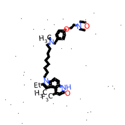 CCc1c(C)c2c3c(C(F)(F)F)cc(=O)[nH]c3ccc2n1CCCCCCCCCN(C)Cc1ccc(OCCN2CCOCC2)cc1